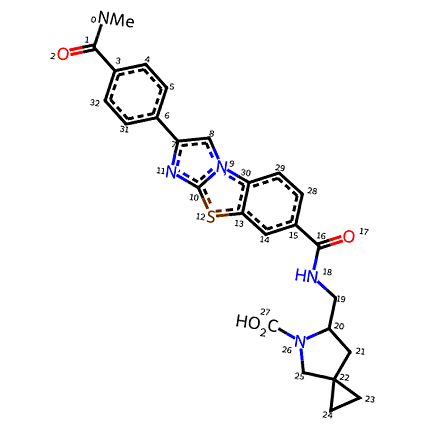 CNC(=O)c1ccc(-c2cn3c(n2)sc2cc(C(=O)NCC4CC5(CC5)CN4C(=O)O)ccc23)cc1